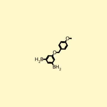 Bc1cc(B)cc(OCc2ccc(OC)cc2)c1